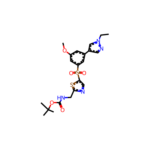 CCn1cc(-c2cc(OC)cc(S(=O)(=O)c3cnc(CNC(=O)OC(C)(C)C)s3)c2)cn1